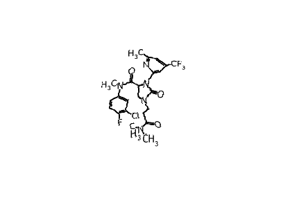 Cc1cc(C(F)(F)F)cc(N2C(=O)N(CCC(=O)N(C)C)C[C@H]2C(=O)N(C)c2ccc(F)c(Cl)c2)n1